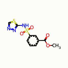 COC(=O)c1cccc(S(=O)(=O)Nc2nncs2)c1